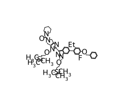 CCc1cc(OCc2ccccc2)c(F)cc1-c1ccc2c(-c3nc4c(n3COCC[Si](C)(C)C)CN(C(=O)N3CCCCC3)C4)nn(COCC[Si](C)(C)C)c2c1